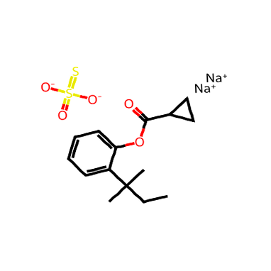 CCC(C)(C)c1ccccc1OC(=O)C1CC1.O=S([O-])([O-])=S.[Na+].[Na+]